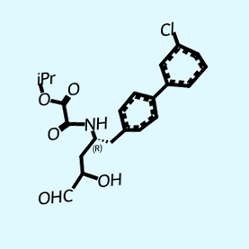 CC(C)OC(=O)C(=O)N[C@H](Cc1ccc(-c2cccc(Cl)c2)cc1)CC(O)C=O